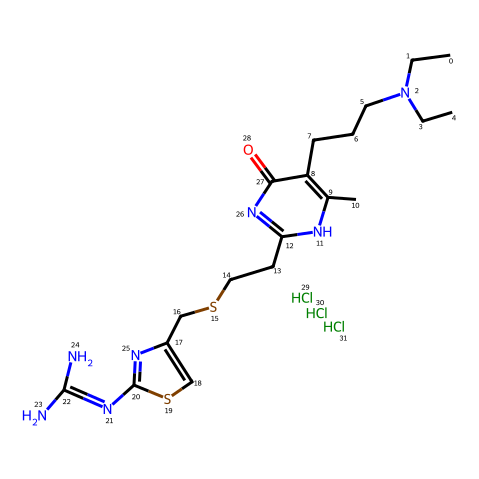 CCN(CC)CCCc1c(C)[nH]c(CCSCc2csc(N=C(N)N)n2)nc1=O.Cl.Cl.Cl